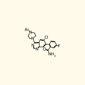 CC(=O)N1CCN(c2ncnc3cc(-c4ccc(F)cc4C(N)=O)c(Cl)cc23)CC1